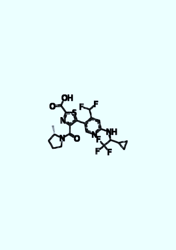 C[C@H]1CCCN1C(=O)c1nc(C(=O)O)sc1-c1cnc(N[C@@H](C2CC2)C(F)(F)F)cc1C(F)F